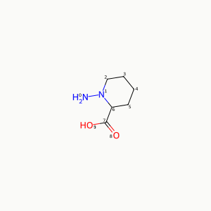 NN1CCCCC1C(=O)O